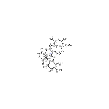 CO[C@H]1C(O)C[C@H](O)[C@H](O[C@H](C[C@@]2(C)[C@H](C)CCC(=O)[C@@H]2C)/C(C)=C/Cc2c(O)c(Cl)c(C)c(C=O)c2O)OC1CO